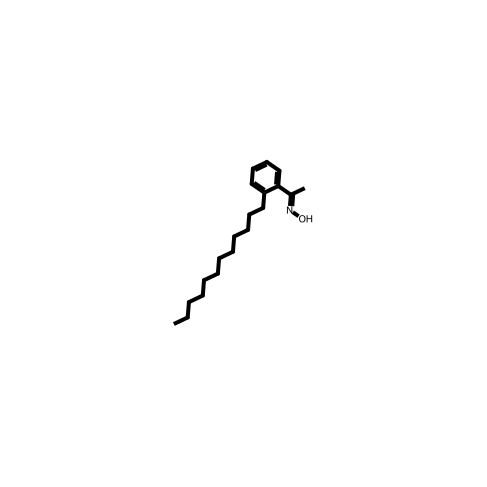 CCCCCCCCCCCCc1ccccc1C(C)=NO